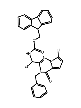 CCC(NC(=O)OCC1c2ccccc2-c2ccccc21)c1nn2c(Cl)ccc2c(=O)n1Cc1ccccc1